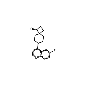 O=C1CCC12CCC(c1ccnc3ccc(F)cc13)CC2